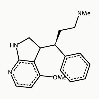 CNCC[C@@H](c1ccccc1)C1CNc2nccc(OC)c21